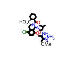 COC/C(=C(/N)COc1ccc(Cl)c2c1C(N1CC(C)CC1=O)N(C(=O)C1CCCCC1C(=O)O)CC2)N(C)N